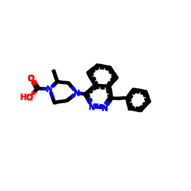 CC1CN(c2nnc(-c3ccccc3)c3ccccc23)CCN1C(=O)O